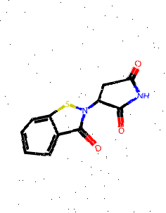 O=C1CC(n2sc3ccccc3c2=O)C(=O)N1